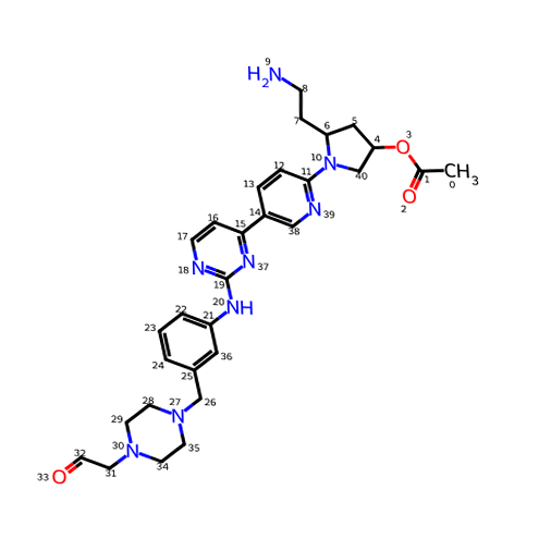 CC(=O)OC1CC(CCN)N(c2ccc(-c3ccnc(Nc4cccc(CN5CCN(CC=O)CC5)c4)n3)cn2)C1